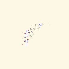 Cn1c(=O)n(C2CCC(=O)NC2=O)c2cccc(CC(C)(C)C3CCN(C(=O)O)CC3)c21